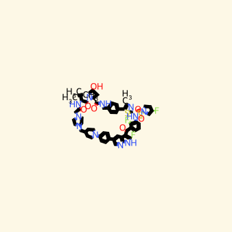 Cc1ncsc1-c1ccc(CNC(=O)[C@@H]2C[C@@H](O)CN2C(=O)C(NC(=O)CN2CCN(CC3CCN(c4ccc(-c5cnc6[nH]cc(C(=O)c7c(F)ccc(NS(=O)(=O)N8CC[C@@H](F)C8)c7F)c6c5)cc4)CC3)CC2)C(C)(C)C)cc1